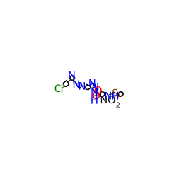 O=[N+]([O-])c1cc(S(=O)(=O)Nc2ncnc3cc(N4CCN(Cc5ccncc5-c5ccc(Cl)cc5)CC4)ccc23)ccc1NCCSc1ccccc1